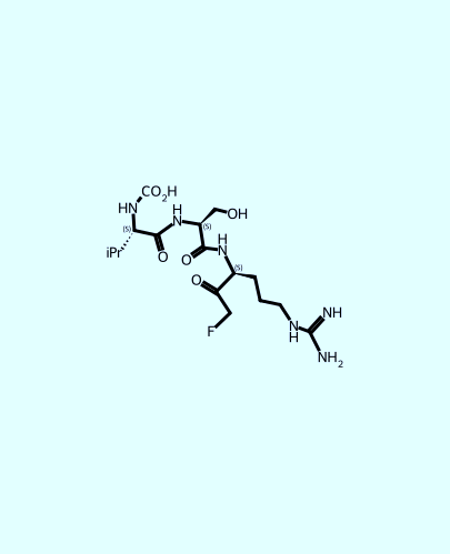 CC(C)[C@H](NC(=O)O)C(=O)N[C@@H](CO)C(=O)N[C@@H](CCCNC(=N)N)C(=O)CF